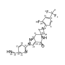 CC(F)(F)c1ccc(N2CC3(Cc4nn(-c5ccc(C=N)cn5)cc4C(=O)N3)C2)c(F)c1